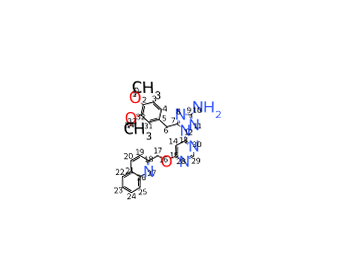 COc1ccc(Cc2nc(N)nn2-c2cc(OCc3ccc4ccccc4n3)ncn2)cc1OC